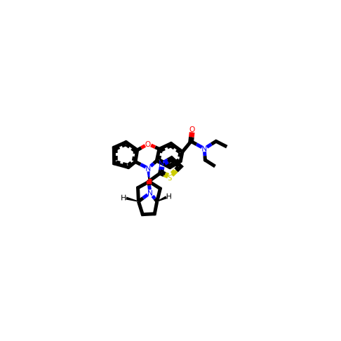 CCN(CC)C(=O)c1ccc2c(c1)Oc1ccccc1N2[C@@H]1C[C@H]2CC[C@@H](C1)N2Cc1nccs1